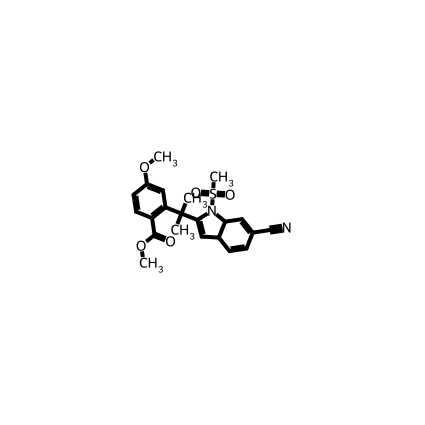 COC(=O)c1ccc(OC)cc1C(C)(C)C1=CC2C=CC(C#N)=CC2N1S(C)(=O)=O